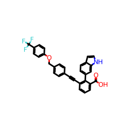 O=C(O)c1cccc(C#Cc2ccc(COc3ccc(C(F)(F)F)cc3)cc2)c1-c1ccc2cc[nH]c2c1